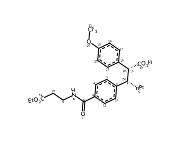 CCC[C@H](c1ccc(C(=O)NCCC(=O)OCC)cc1)[C@@H](C(=O)O)c1ccc(OC(F)(F)F)cc1